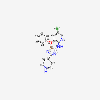 Brc1cnc(Nc2nc(C3CCNCC3)ns2)c(Oc2ccccc2)c1